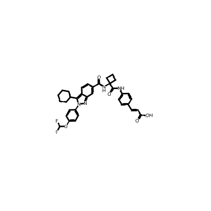 O=C(O)C=Cc1ccc(NC(=O)C2(NC(=O)c3ccc4c(C5CCCCC5)n(-c5ccc(OC(F)F)cc5)nc4c3)CCC2)cc1